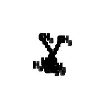 CCCCCCCCCCC(CCCCCCCC)COC(=O)NC1CC(C)(C)CC(C)(CC)C1